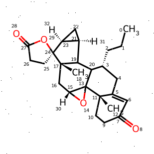 CCC[C@@H]1CC2=CC(=O)CC[C@]2(C)C23O[C@@H]2C[C@@]2(C)C(C13)[C@@H]1C[C@@H]1[C@@]21CCC(=O)O1